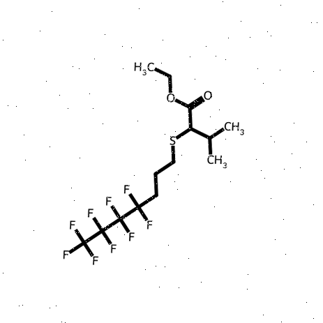 CCOC(=O)C(SCCCC(F)(F)C(F)(F)C(F)(F)C(F)(F)F)C(C)C